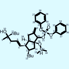 C=C1C[C@@H]2[C@H](C=CC[C@](C)(O)CCCC)[C@H](C(C)(C)C)C[C@@]2(O[SiH](C)C)C1OP(=O)(Oc1ccccc1)Oc1ccccc1